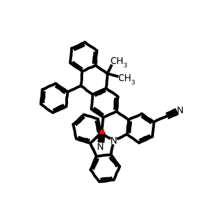 CC1(C)c2ccccc2C(c2ccccc2)c2cc(C#N)c(-c3cc(C#N)ccc3-n3c4ccccc4c4ccccc43)cc21